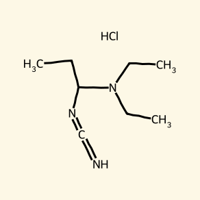 CCC(N=C=N)N(CC)CC.Cl